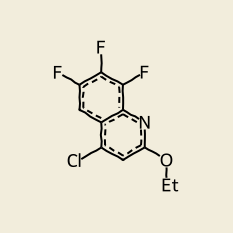 CCOc1cc(Cl)c2cc(F)c(F)c(F)c2n1